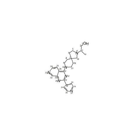 CC(CO)N1CCC2(CCN(c3nc(-c4ccncc4)nc4cnccc34)CC2)C1